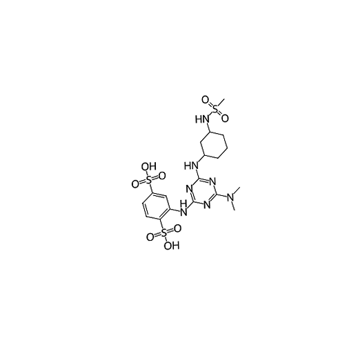 CN(C)c1nc(Nc2cc(S(=O)(=O)O)ccc2S(=O)(=O)O)nc(NC2CCCC(NS(C)(=O)=O)C2)n1